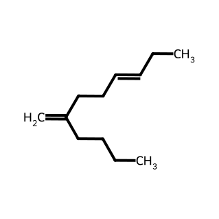 C=C(CCC=CCC)CCCC